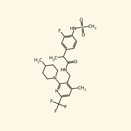 Cc1cc(C(F)(F)F)nc(N2CCC(C)CC2)c1CNC(=O)C(C)c1ccc(NS(C)(=O)=O)c(F)c1